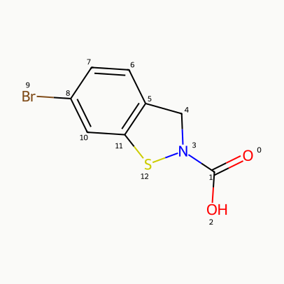 O=C(O)N1Cc2ccc(Br)cc2S1